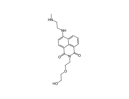 CNCCNc1ccc2c3c(cccc13)C(=O)N(CCOCCO)C2=O